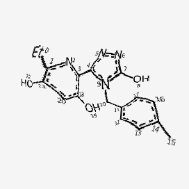 CCc1nc(-c2nnc(O)n2Cc2ccc(C)cc2)c(O)cc1O